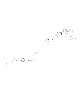 Cc1nc2cc(F)c(-c3cnc(N4CCN(C(=O)Cn5cc(COCCOCCOCC(=O)N6CCC(Oc7ccc(Oc8cccc(OCC(=O)N[C@@H](CCC(C)(C)C)C(=O)O)c8)nc7)CC6)nn5)[C@H](C)C4)nc3)nc2c(N[C@H](C)c2cc(C#N)ccc2F)c1Cl